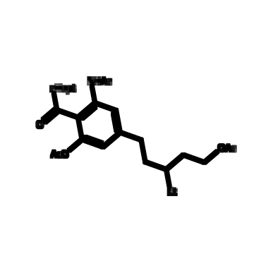 CCCCCCCC(=O)c1c(NC(C)=O)cc(CCC(CC)CCOC(C)=O)cc1OC(C)=O